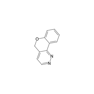 c1ccc2c(c1)OCc1ccnnc1-2